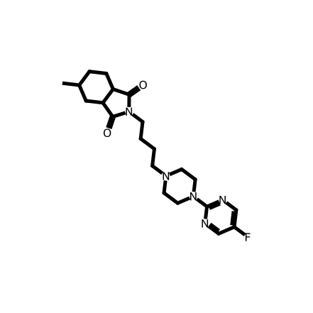 CC1CCC2C(=O)N(CCCCN3CCN(c4ncc(F)cn4)CC3)C(=O)C2C1